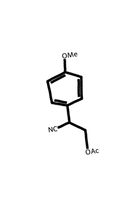 COc1ccc(C(C#N)COC(C)=O)cc1